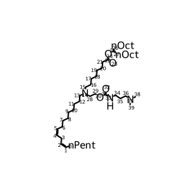 CCCCC/C=C\C/C=C\CCCCCCCCN(CCCCCCCC(=O)OC(CCCCCCCC)CCCCCCCC)CCOC(=O)NCCCN(C)C